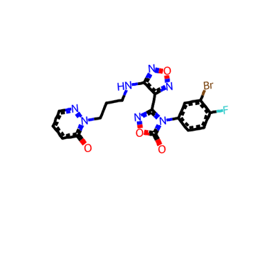 O=c1cccnn1CCCNc1nonc1-c1noc(=O)n1-c1ccc(F)c(Br)c1